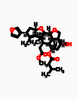 COC(=O)C[C@H]1[C@]2(C)C3=C(C)[C@H](c4ccoc4)C[C@H]3O[C@@H]2[C@@H]2OC[C@]3(C)[C@H](O)C[C@H](OC(=O)CC(C)C)[C@@]1(C)[C@@H]23